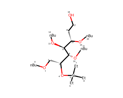 CCCCOC[C@@H](O[Si](CC)(CC)CC)[C@@H](OCCCC)[C@@H](OCCCC)[C@H](CCO)OCCCC